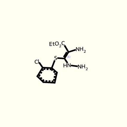 CCOC(=O)/C(N)=C(/NN)Sc1ccccc1Cl